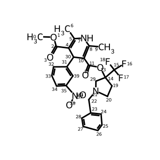 COC(=O)C1=C(C)NC(C)=C(C(=O)OC2(C(F)(F)F)CCN(Cc3ccccc3)C2)C1c1cccc([N+](=O)[O-])c1